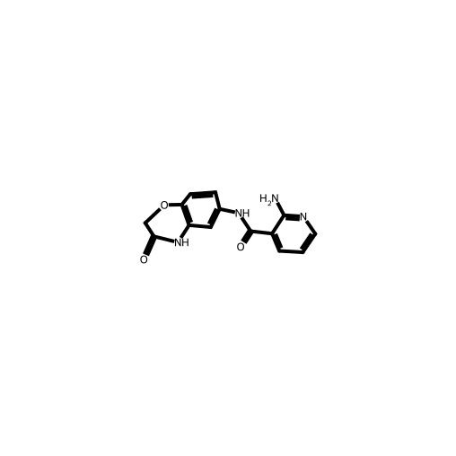 Nc1ncccc1C(=O)Nc1ccc2c(c1)NC(=O)CO2